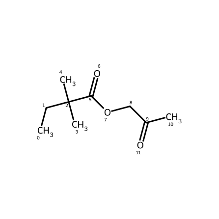 CCC(C)(C)C(=O)OCC(C)=O